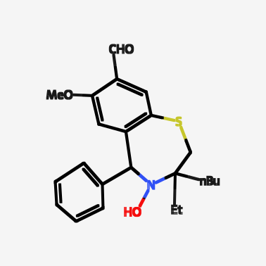 CCCCC1(CC)CSc2cc(C=O)c(OC)cc2C(c2ccccc2)N1O